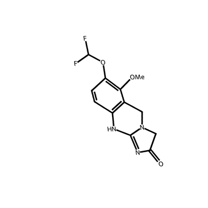 COc1c(OC(F)F)ccc2c1CN1CC(=O)N=C1N2